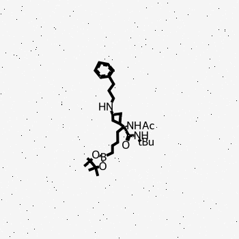 CC(=O)N[C@@](CCCCB1OC(C)(C)C(C)(C)O1)(C(=O)NC(C)(C)C)C1CC(NCCCc2ccccc2)C1